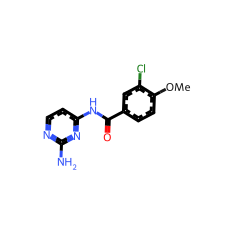 COc1ccc(C(=O)Nc2ccnc(N)n2)cc1Cl